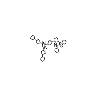 c1ccc(-c2ccc(-c3cc(-c4ccc(-c5ccccc5)cc4)nc(-c4ccc(-c5cccc6c5nc(-c5ccccc5)c5oc7ccccc7c56)cc4)n3)cc2)cc1